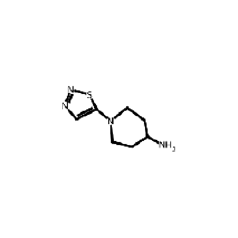 NC1CCN(c2cnns2)CC1